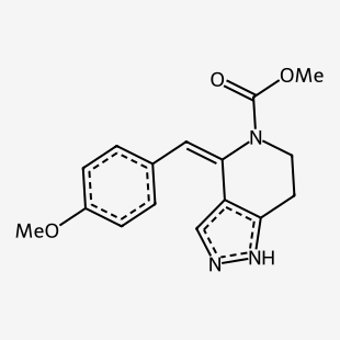 COC(=O)N1CCc2[nH]ncc2/C1=C\c1ccc(OC)cc1